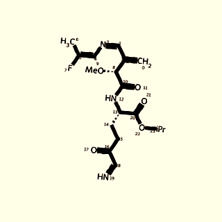 C=C(/C=N\C=C(/C)F)[C@@H](OC)C(=O)N[C@@H](CCC(=O)C=N)C(=O)OC(C)C